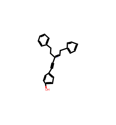 Oc1ccc(C#C/C(=C/Cc2ccccc2)CCc2ccccc2)cc1